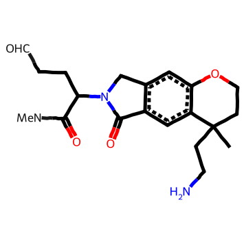 CNC(=O)C(CCC=O)N1Cc2cc3c(cc2C1=O)C(C)(CCN)CCO3